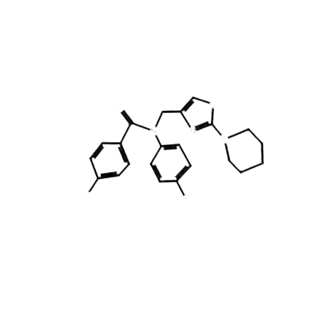 O=C(c1ccc(Cl)cc1)N(Cc1csc(N2CCCCC2)n1)c1ccc(F)cc1